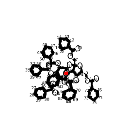 O=C(OC[C@H]1O[C@@](COC(=O)c2ccccc2)(O[C@H]2O[C@H](COC(=O)c3ccccc3)[C@@H](OC(=O)c3ccccc3)C2OC(=O)c2ccccc2)C(OC(=O)c2ccccc2)[C@H]1OC(=O)c1ccccc1)c1ccccc1